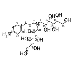 Nc1ccc(CCCN(CC(O)C(O)C(O)C(O)CO)CC(O)C(O)C(O)C(O)CO)cc1